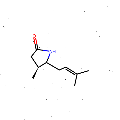 CC(C)=CCC1NC(=O)C[C@@H]1C